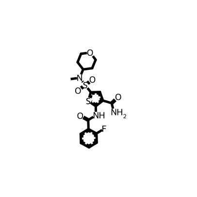 CN(C1CCOCC1)S(=O)(=O)c1cc(C(N)=O)c(NC(=O)c2ccccc2F)s1